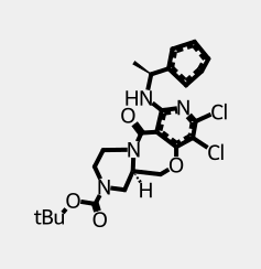 C[C@H](Nc1nc(Cl)c(Cl)c2c1C(=O)N1CCN(C(=O)OC(C)(C)C)C[C@@H]1CO2)c1ccccc1